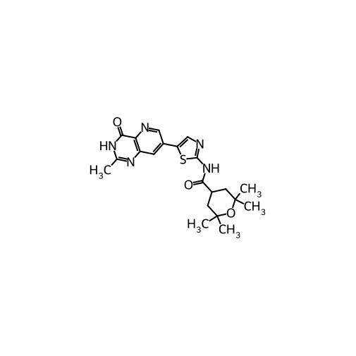 Cc1nc2cc(-c3cnc(NC(=O)C4CC(C)(C)OC(C)(C)C4)s3)cnc2c(=O)[nH]1